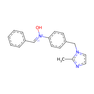 Cc1nccn1Cc1ccc(/[N+](O)=C/c2ccccc2)cc1